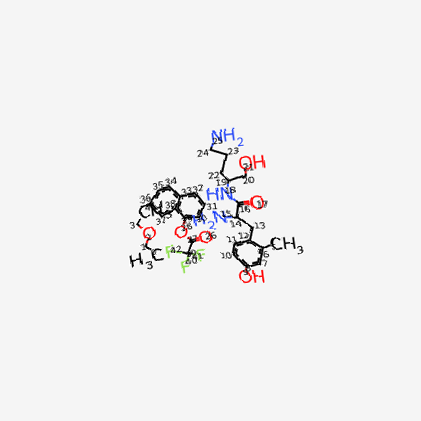 CCOCC.Cc1cc(O)ccc1CC(N)C(=O)NC(CO)CCCN.O=C(Oc1cccc2ccccc12)C(F)(F)F